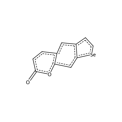 O=c1ccc2cc3cc[se]c3cc2o1